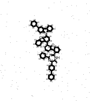 CC1NC(c2cccc3oc4c(c23)C=CCC4c2ccc(-n3c4ccccc4c4cc(-c5ccccc5)ccc43)c3oc4ccccc4c23)=NC(c2ccccc2)=NC1c1ccc(-c2ccccc2)cc1